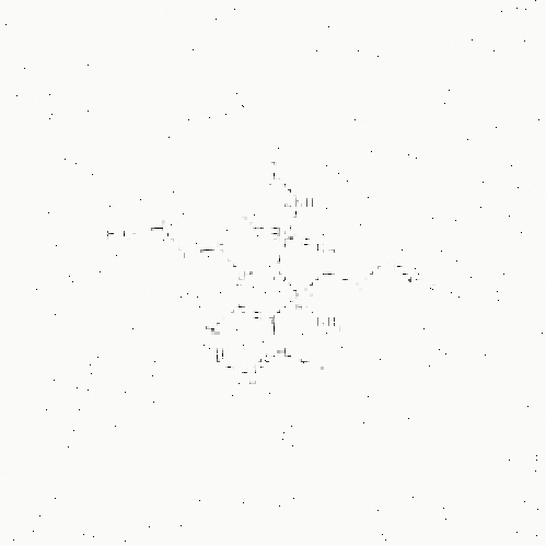 C=CCC[C@@](N)(c1ccccc1F)C(OCCCC)S(=O)(=O)NC